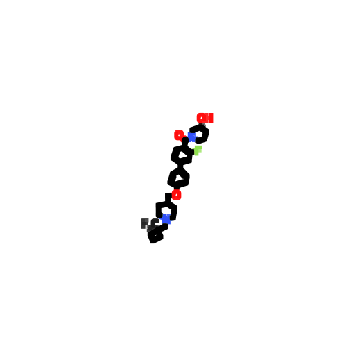 O=C(c1ccc(-c2ccc(OCC3CCN(CC4(C(F)(F)F)CCC4)CC3)cc2)cc1F)N1CCC[C@@H](O)C1